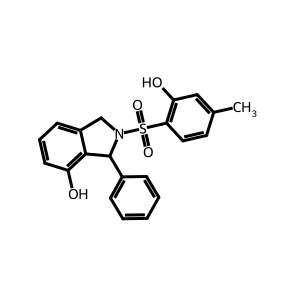 Cc1ccc(S(=O)(=O)N2Cc3cccc(O)c3C2c2ccccc2)c(O)c1